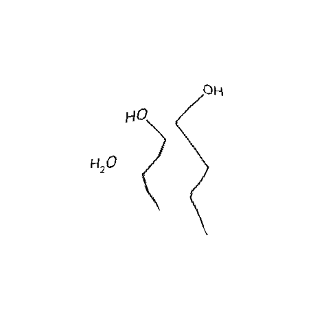 CCCCO.CCCO.O